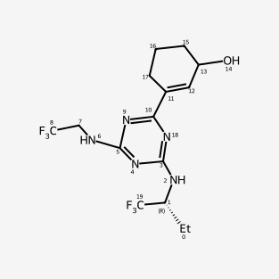 CC[C@@H](Nc1nc(NCC(F)(F)F)nc(C2=CC(O)CCC2)n1)C(F)(F)F